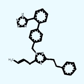 C/C=C/Cc1nc(CCc2ccccc2)nn1Cc1ccc(-c2ccccc2-c2nnn[nH]2)cc1